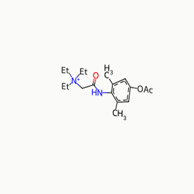 CC[N+](CC)(CC)CC(=O)Nc1c(C)cc(OC(C)=O)cc1C